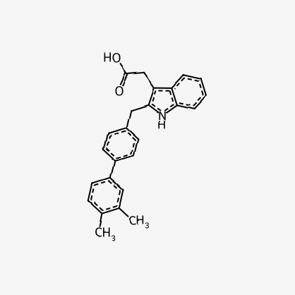 Cc1ccc(-c2ccc(Cc3[nH]c4ccccc4c3CC(=O)O)cc2)cc1C